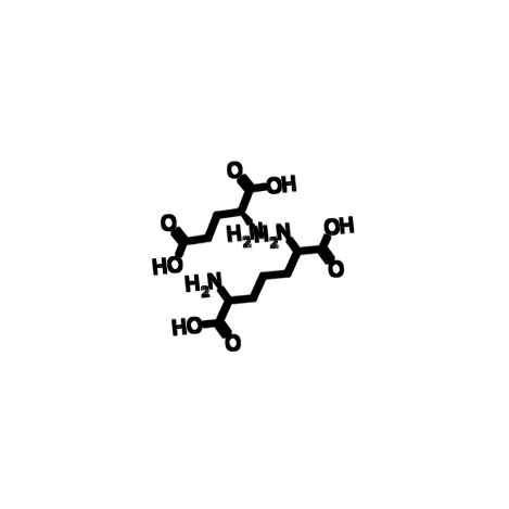 NC(CCCC(N)C(=O)O)C(=O)O.N[C@@H](CCC(=O)O)C(=O)O